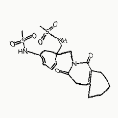 CS(=O)(=O)NC1=CC=CC(CN2C(=O)CC3=C(CCCC3)C2=O)(NS(C)(=O)=O)C1